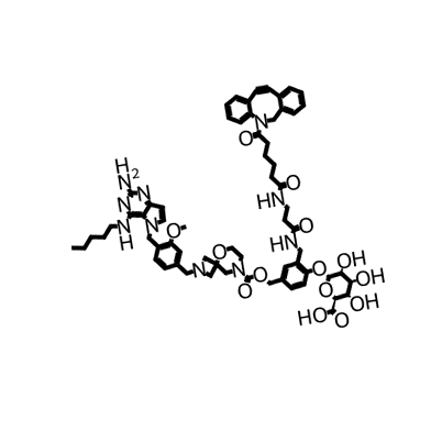 CCCCCNc1nc(N)nc2ccn(Cc3ccc(CN4CC5(C4)CN(C(=O)OCc4ccc(O[C@@H]6O[C@H](C(=O)O)[C@@H](O)[C@H](O)[C@H]6O)c(CNC(=O)CCNC(=O)CCCCC(=O)N6Cc7ccccc7C#Cc7ccccc76)c4)CCO5)cc3OC)c12